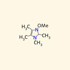 CON1C(C)=C(C)N(C)C1C